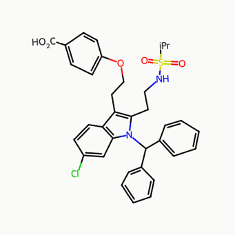 CC(C)S(=O)(=O)NCCc1c(CCOc2ccc(C(=O)O)cc2)c2ccc(Cl)cc2n1C(c1ccccc1)c1ccccc1